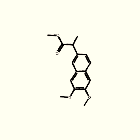 COC(=O)C(C)c1ccc2cc(OC)c(OC)cc2c1